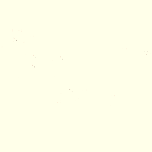 CCCCN(CCCC)C(=O)c1nn(-c2ccc(C(=O)NS(=O)(=O)c3ccc4cccc(OCc5ccc(C(=O)OC)cc5)c4c3)cc2C(=O)N2CCc3ccccc3C2)c(C)c1Cl